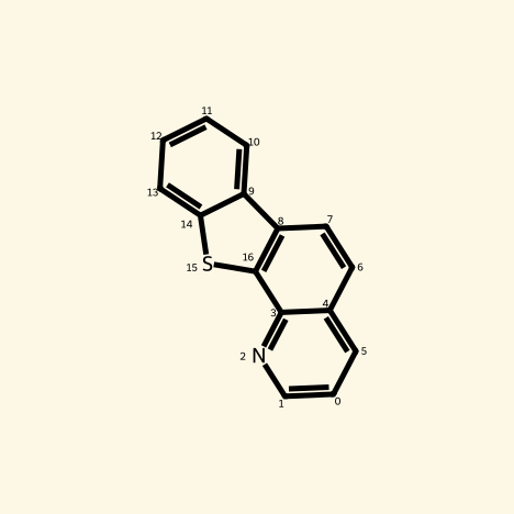 c1cnc2c(c1)ccc1c3ccccc3sc12